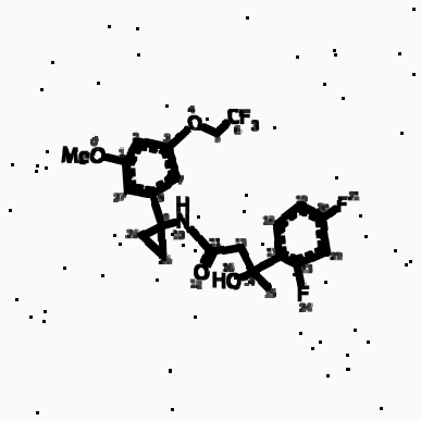 COc1cc(OCC(F)(F)F)cc(C2(NC(=O)CC(C)(O)c3ccc(F)cc3F)CC2)c1